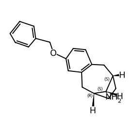 N[C@@H]1[C@@H]2CC[C@H]1Cc1ccc(OCc3ccccc3)cc1C2